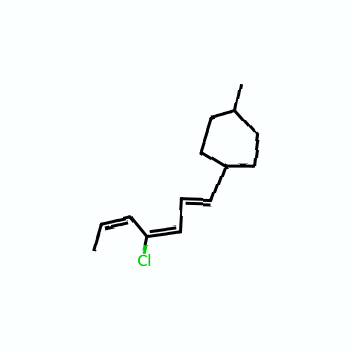 C\C=C/C(Cl)=C\C=C\C1CCC(C)CC1